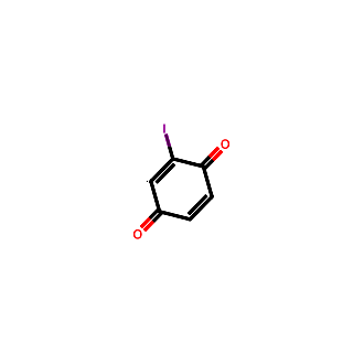 O=C1[C]=C(I)C(=O)C=C1